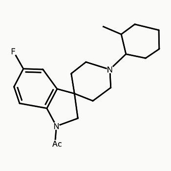 CC(=O)N1CC2(CCN(C3CCCCC3C)CC2)c2cc(F)ccc21